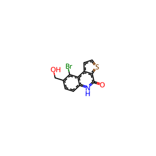 O=c1[nH]c2ccc(CO)c(Br)c2c2ccsc12